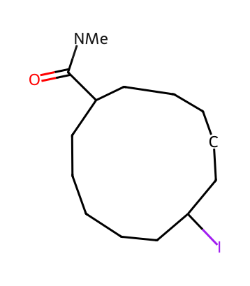 CNC(=O)C1CCCCCC(I)CCCCC1